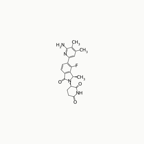 Cc1cc(-c2ccc3c(c2F)[C@@H](C)N([C@@H]2CCC(=O)NC2=O)C3=O)nc(N)c1C